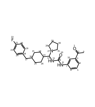 CC(=O)c1cccc(NC(=O)NC(C2CCC(Cc3ccc(F)cc3)CC2)N2CCCC2)c1